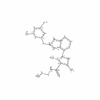 Cc1nn(-c2cccc3nn(Cc4cc(F)cc(Cl)c4)cc23)c(C)c1C(=O)NCCO